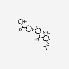 CC(C)Oc1cc(C(=N)c2ccnc(N3CCN(C(=O)C4CCCN4C)CC3)c2)c(N)cn1